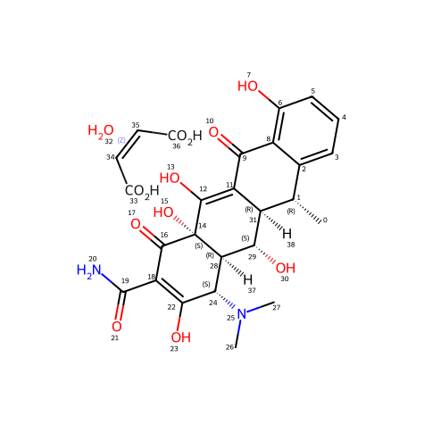 C[C@H]1c2cccc(O)c2C(=O)C2=C(O)[C@]3(O)C(=O)C(C(N)=O)=C(O)[C@@H](N(C)C)[C@@H]3[C@@H](O)[C@@H]21.O.O=C(O)/C=C\C(=O)O